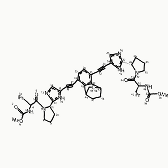 COC(=O)NC(C(=O)N1CCC[C@@H]1c1ncc(C#Cc2ccc(C#Cc3cnc([C@@H]4CCCN4C(=O)[C@@H](NC(=O)OC)C(C)C)[nH]3)c3c2C2CCC3CC2)[nH]1)C(C)C